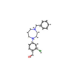 O=Cc1ccc(N2CCCN(Cc3ccccc3)CC2)cc1Br